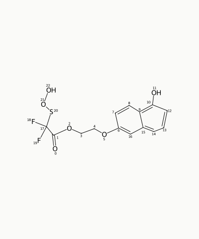 O=C(OCCOc1ccc2c(O)cccc2c1)C(F)(F)SOO